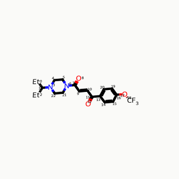 CCC(CC)N1CCN(C(=O)/C=C/C(=O)c2ccc(OC(F)(F)F)cc2)CC1